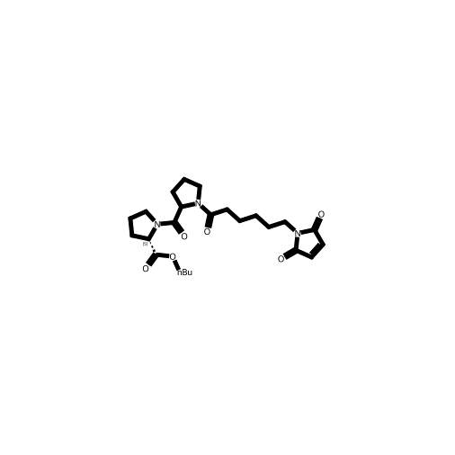 CCCCOC(=O)[C@@H]1CCCN1C(=O)C1CCCN1C(=O)CCCCCN1C(=O)C=CC1=O